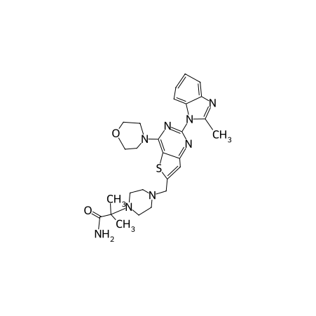 Cc1nc2ccccc2n1-c1nc(N2CCOCC2)c2sc(CN3CCN(C(C)(C)C(N)=O)CC3)cc2n1